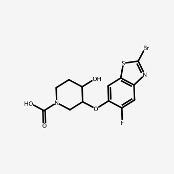 O=C(O)N1CCC(O)C(Oc2cc3sc(Br)nc3cc2F)C1